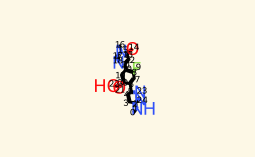 CNc1ccc(-c2cc(F)c(-c3cc(=O)n(C)cn3)cc2OO)nn1